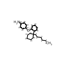 CCCCCCC1(c2ccccc2Oc2ccc(N)cc2)CCCCC1